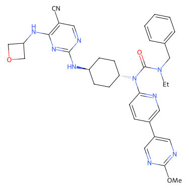 CCN(Cc1ccccc1)C(=O)N(c1ccc(-c2cnc(OC)nc2)cn1)[C@H]1CC[C@H](Nc2ncc(C#N)c(NC3COC3)n2)CC1